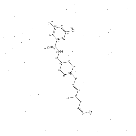 CC/C=C\CC(F)/C=C/CN1CCC(CNC(=O)c2cc(Cl)cc(Cl)c2)CC1